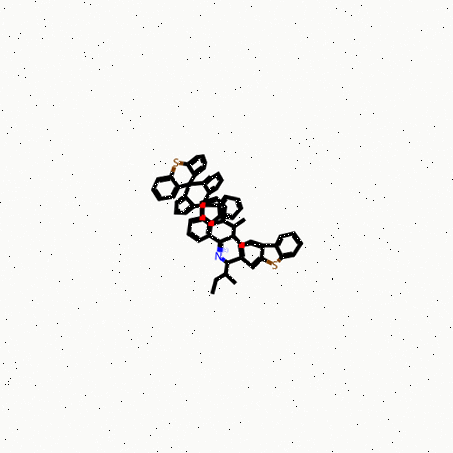 CCC(C)C(/N=C(/c1cccc2c1-c1ccccc1C21c2ccccc2C2(c3ccccc3Sc3ccccc32)c2ccccc21)C(CC)C(C)c1ccccc1)c1ccc2c(c1)sc1ccccc12